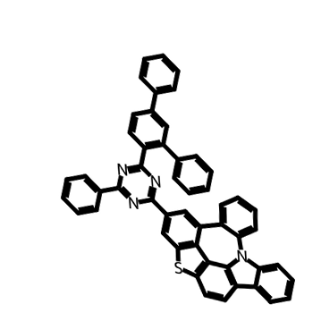 c1ccc(-c2ccc(-c3nc(-c4ccccc4)nc(-c4cc5sc6ccc7c8ccccc8n8c9ccccc9c(c4)c5c6c78)n3)c(-c3ccccc3)c2)cc1